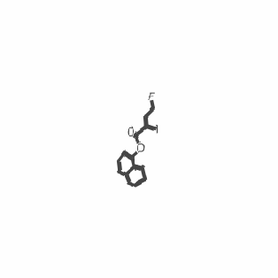 O=C(Oc1cccc2ccccc12)C(I)CCF